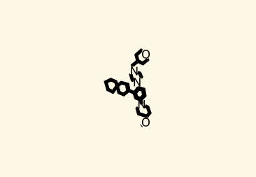 COC1CCN(c2ccc(N3CCN(CC4CCOCC4)CC3)c(C3=CCC4(CCCCC4)CC3)c2)CC1